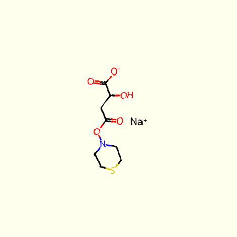 O=C(CC(O)C(=O)[O-])ON1CCSCC1.[Na+]